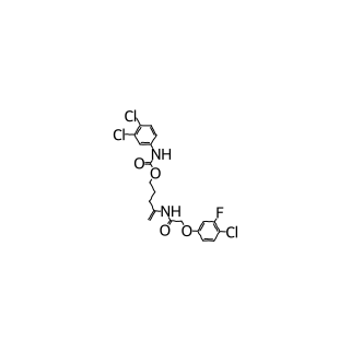 C=C(CCCOC(=O)Nc1ccc(Cl)c(Cl)c1)NC(=O)COc1ccc(Cl)c(F)c1